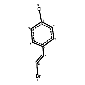 Clc1ccc(/C=C/Br)cc1